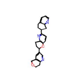 c1cnc2c(c1)CCC(c1ccc3c(n1)CCC(c1cnc4c(c1)COCC4)O3)C2